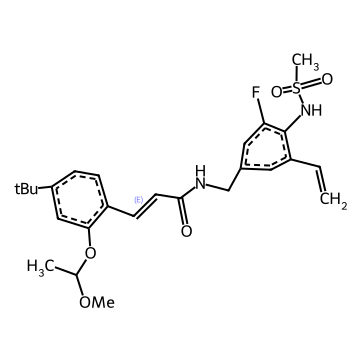 C=Cc1cc(CNC(=O)/C=C/c2ccc(C(C)(C)C)cc2OC(C)OC)cc(F)c1NS(C)(=O)=O